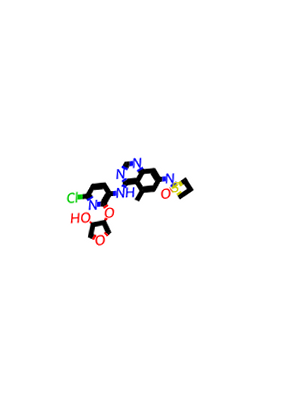 Cc1cc(N=S2(=O)CCC2)cc2ncnc(Nc3ccc(Cl)nc3O[C@H]3COC[C@@H]3O)c12